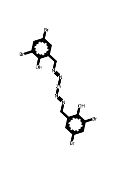 Oc1c(Br)cc(Br)cc1C/N=[N]/[Zn]/[N]=N/Cc1cc(Br)cc(Br)c1O